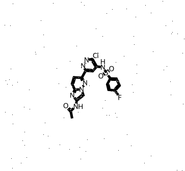 CC(=O)Nc1cn2nc(-c3cc(NS(=O)(=O)c4ccc(F)cc4)c(Cl)nn3)ccc2n1